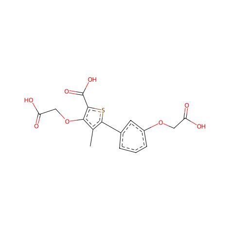 Cc1c(-c2cccc(OCC(=O)O)c2)sc(C(=O)O)c1OCC(=O)O